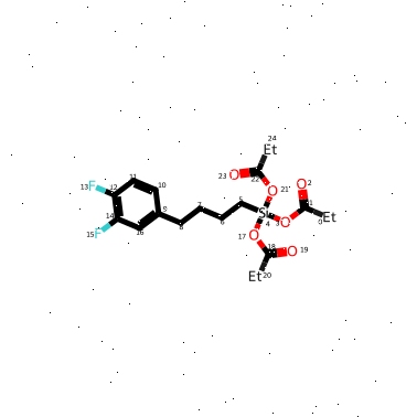 CCC(=O)O[Si](CCCCc1ccc(F)c(F)c1)(OC(=O)CC)OC(=O)CC